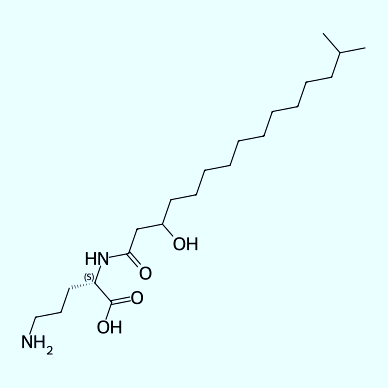 CC(C)CCCCCCCCCCC(O)CC(=O)N[C@@H](CCCN)C(=O)O